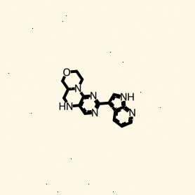 c1cnc2[nH]cc(-c3ncc4c(n3)N3CCOCC3CN4)c2c1